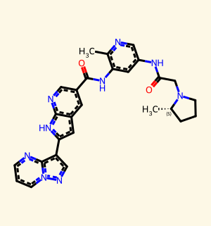 Cc1ncc(NC(=O)CN2CCC[C@@H]2C)cc1NC(=O)c1cnc2[nH]c(-c3cnn4cccnc34)cc2c1